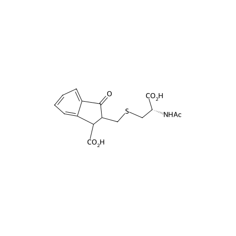 CC(=O)N[C@H](CSCC1C(=O)c2ccccc2C1C(=O)O)C(=O)O